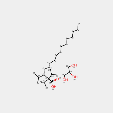 CCCCCCCCCCCCCC(C(C)C)C(C(=O)O)(C(C)C)C(C)C.OCC(O)CO